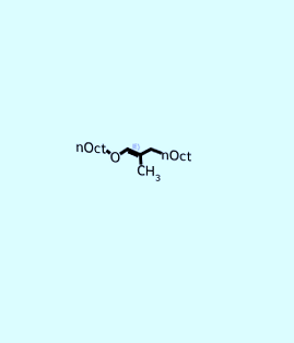 CCCCCCCCC/C(C)=C/OCCCCCCCC